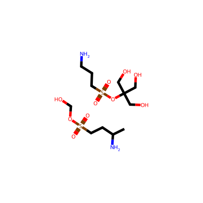 CC(N)CCS(=O)(=O)OCO.NCCCS(=O)(=O)OC(CO)(CO)CO